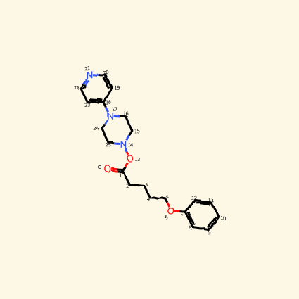 O=C(CCCCOc1ccccc1)ON1CCN(c2ccncc2)CC1